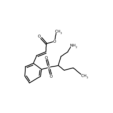 CCCC(CCN)S(=O)(=O)c1ccccc1/C=C/C(=O)OC